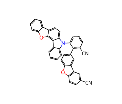 N#Cc1ccc2oc3ccc(-c4c(C#N)cccc4-n4c5ccccc5c5c6oc7ccccc7c6ccc54)cc3c2c1